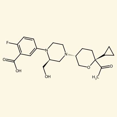 CC(=O)[C@@]1(C2CC2)CC[C@@H](N2CCN(c3ccc(F)c(C(=O)O)c3)[C@H](CO)C2)CO1